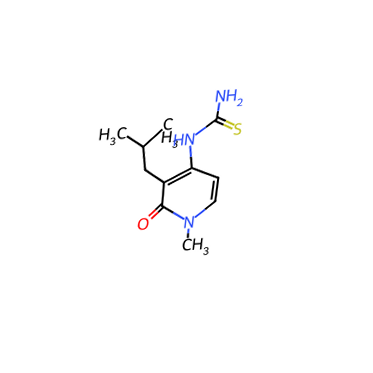 CC(C)Cc1c(NC(N)=S)ccn(C)c1=O